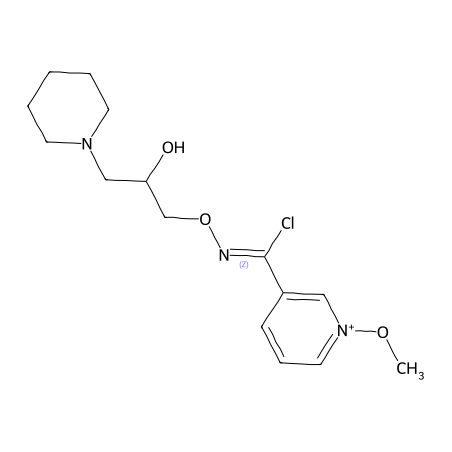 CO[n+]1cccc(/C(Cl)=N/OCC(O)CN2CCCCC2)c1